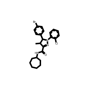 CC1C(C(=O)NC2CCCCCC2)=NN(c2ccccc2Cl)C1c1ccc(Br)cc1